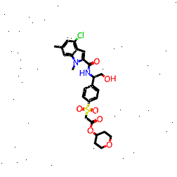 Cc1cc(Cl)c2cc(C(=O)NC(CO)c3ccc(S(=O)(=O)CC(=O)OC4CCOCC4)cc3)n(C)c2c1